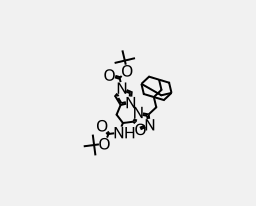 CC(C)(C)OC(=O)NC(Cc1cn(C(=O)OC(C)(C)C)cn1)c1nc(CC23CC4CC(CC(C4)C2)C3)no1